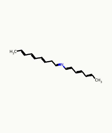 CC=CC=CC=CCC=NC=CC=CC=CC